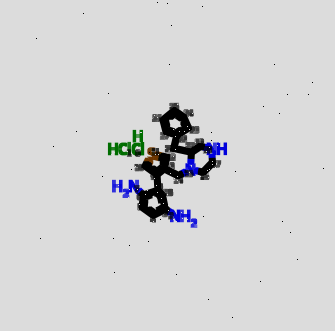 Cl.Cl.Nc1ccc(N)c(-c2cscc2CN2CCNCC2Cc2ccccc2)c1